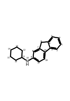 c1ccc2c(c1)Cc1cc(NC3CCCCC3)ccc1-2